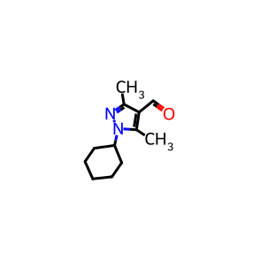 Cc1nn(C2CCCCC2)c(C)c1C=O